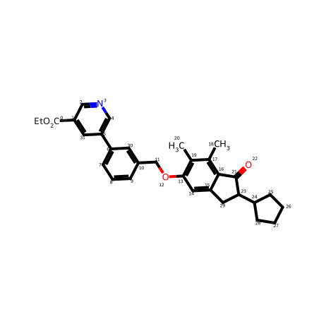 CCOC(=O)c1cncc(-c2cccc(COc3cc4c(c(C)c3C)C(=O)C(C3CCCC3)C4)c2)c1